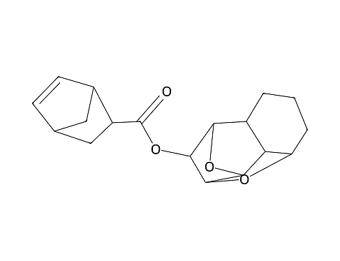 O=C(OC1C2OC3C1OC1CCCC2C13)C1CC2C=CC1C2